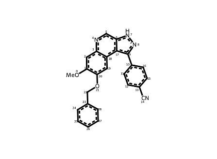 COc1cc2ncc3[nH]nc(-c4ccc(C#N)cc4)c3c2cc1OCc1ccccc1